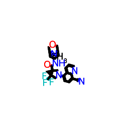 CN1C2COCC1CC(NC(=O)C13CN(c4ccc(C#N)c5ncccc45)CC1(C(F)(F)F)C3)C2